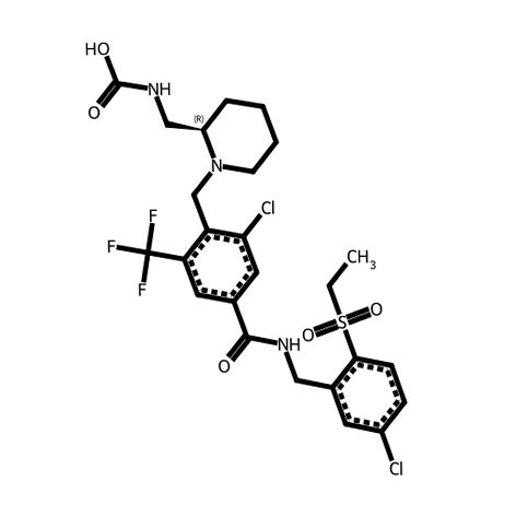 CCS(=O)(=O)c1ccc(Cl)cc1CNC(=O)c1cc(Cl)c(CN2CCCC[C@@H]2CNC(=O)O)c(C(F)(F)F)c1